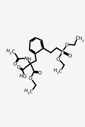 CCOC(=O)C(Cc1ccccc1CCP(=O)(OCC)OCC)(NC(C)=O)C(=O)O